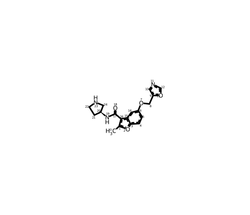 Cc1oc2ccc(OCc3cnco3)cc2c1C(=O)N[C@H]1CCNC1